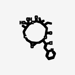 CCC1CC(=O)OC(C(Cl)=Cc2ccccn2)CC2OC2CCCC(C)C(O)(O)CC(=O)C1(C)C